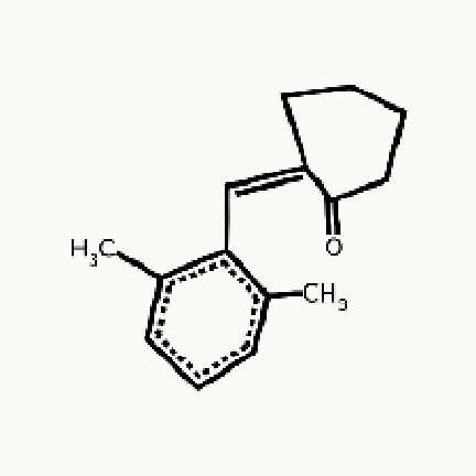 Cc1cccc(C)c1/C=C1/CCCCC1=O